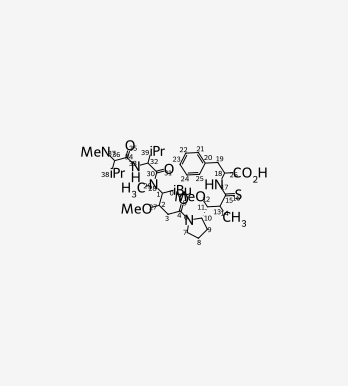 CCC(C)C(C(CC(=O)N1CCC[C@H]1C(OC)C(C)C(=S)NC(Cc1ccccc1)C(=O)O)OC)N(C)C(=O)C(NC(=O)C(NC)C(C)C)C(C)C